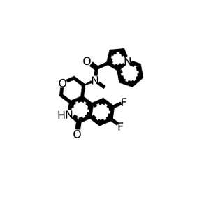 CN(C(=O)c1ccn2ccccc12)[C@@H]1COCc2[nH]c(=O)c3cc(F)c(F)cc3c21